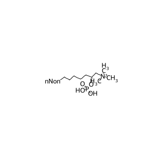 CCCCCCCCCCCCCCC(C[N+](C)(C)C)OP(=O)(O)O